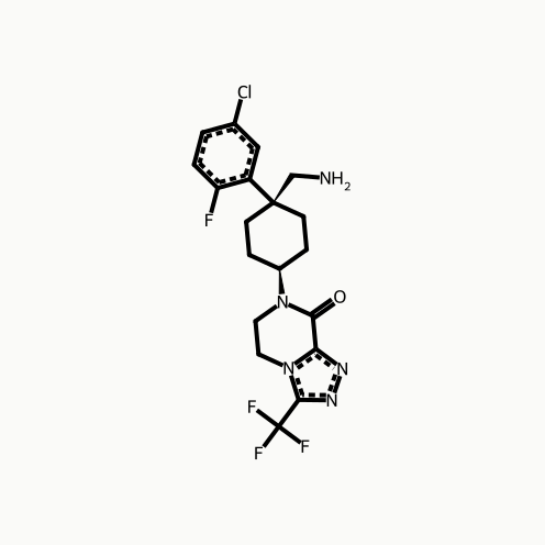 NC[C@]1(c2cc(Cl)ccc2F)CC[C@H](N2CCn3c(nnc3C(F)(F)F)C2=O)CC1